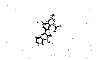 CC(C)C(=O)Oc1cc(-c2nc3ccccc3n(C)c2=O)cc([N+](=O)[O-])c1OC(=O)C(C)C